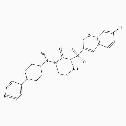 CC(=O)N(C1CCN(c2ccncc2)CC1)N1CCNC(S(=O)(=O)C2=Cc3ccc(Cl)cc3OC2)C1=O